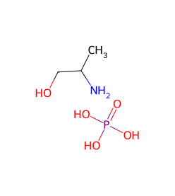 CC(N)CO.O=P(O)(O)O